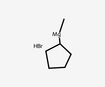 Br.[CH3][Mg][CH]1CCCC1